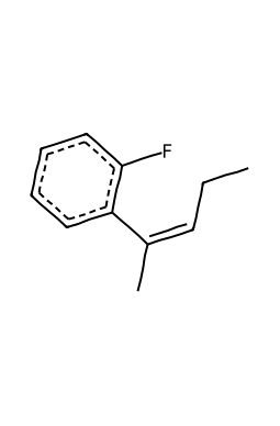 CC/C=C(/C)c1ccccc1F